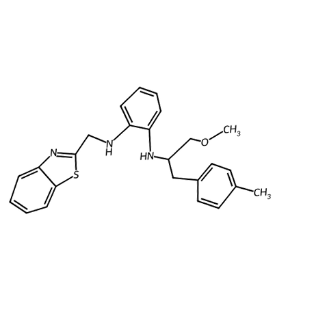 COCC(Cc1ccc(C)cc1)Nc1ccccc1NCc1nc2ccccc2s1